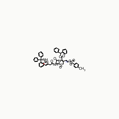 Cc1ccc(S(=O)(=O)O/C=C/C2=C(C(=O)OC(c3ccccc3)c3ccccc3)N3C(=O)C(NC(=O)Cc4csc(NC(c5ccccc5)(c5ccccc5)c5ccccc5)n4)C3[S+]([O-])C2)cc1